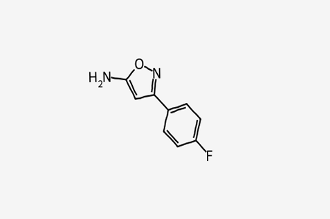 Nc1cc(-c2ccc(F)cc2)no1